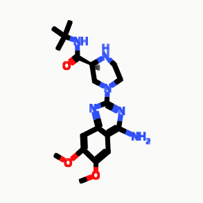 COc1cc2nc(N3CCN[C@H](C(=O)NC(C)(C)C)C3)nc(N)c2cc1OC